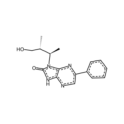 C[C@H]([C@@H](C)CO)n1c(=O)[nH]c2ncc(-c3ccccc3)nc21